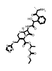 CCOC(=O)OC(C)OC(=O)C1=C(CSc2nncs2)CS[C@H]2C(NC(=O)C(O)c3ccccc3C(=O)[C@H](C)N)C(=O)N12